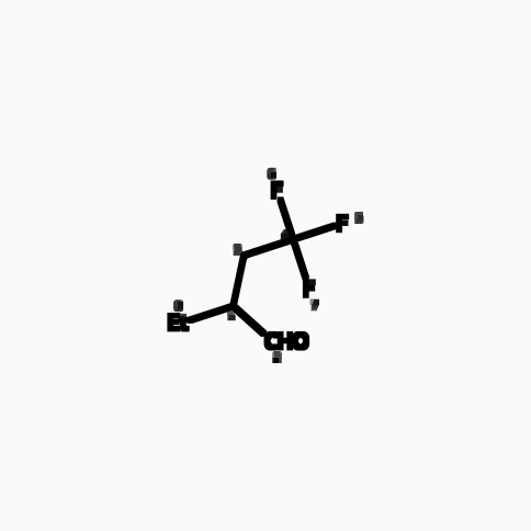 CCC(C=O)CC(F)(F)F